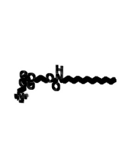 CCCCCCCCCCCCNC(=O)OCCCOP(=O)([O-])OCC[N+](C)(C)C